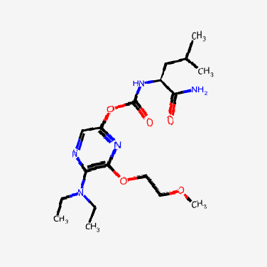 CCN(CC)c1ncc(OC(=O)N[C@@H](CC(C)C)C(N)=O)nc1OCCOC